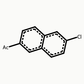 CC(=O)c1ccc2cc(Cl)ccc2c1